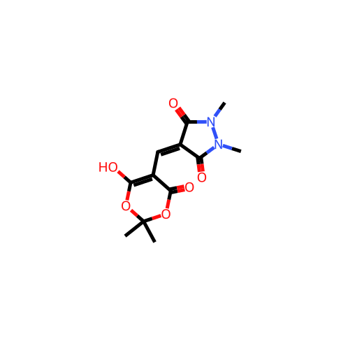 CN1C(=O)C(=CC2=C(O)OC(C)(C)OC2=O)C(=O)N1C